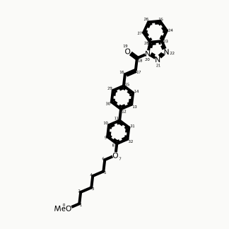 COCCCCCCOc1ccc(-c2ccc(/C=C/C(=O)n3nnc4ccccc43)cc2)cc1